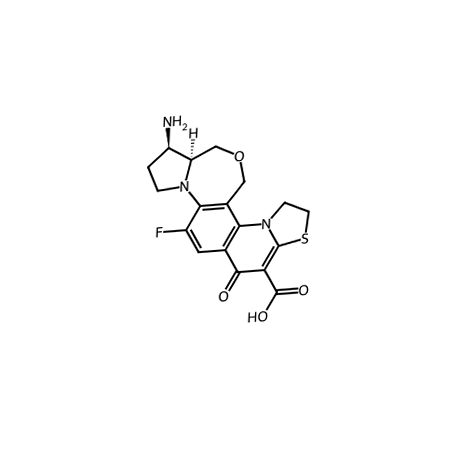 N[C@@H]1CCN2c3c(F)cc4c(=O)c(C(=O)O)c5n(c4c3COC[C@H]12)CCS5